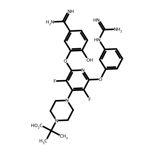 CC(C)(C(=O)O)N1CCN(c2c(F)c(Oc3cccc(NC(=N)N)c3)nc(Oc3cc(C(=N)N)ccc3O)c2F)CC1